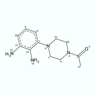 CC(=O)N1CCN(c2cccc(N)c2N)CC1